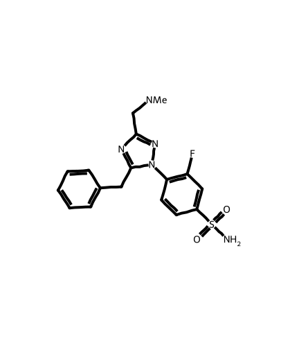 CNCc1nc(Cc2ccccc2)n(-c2ccc(S(N)(=O)=O)cc2F)n1